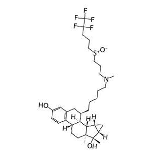 CN(CCCCC[C@@H]1Cc2cc(O)ccc2[C@H]2CC[C@@]3(C)[C@@H]([C@@H]4C[C@@H]4[C@]3(C)O)[C@H]12)CCC[S+]([O-])CCCC(F)(F)C(F)(F)F